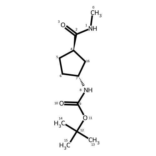 CNC(=O)[C@@H]1CC[C@@H](NC(=O)OC(C)(C)C)C1